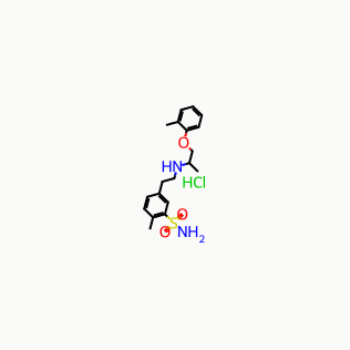 Cc1ccccc1OCC(C)NCCc1ccc(C)c(S(N)(=O)=O)c1.Cl